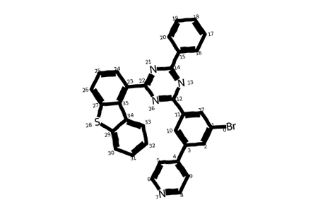 Brc1cc(-c2ccncc2)cc(-c2nc(-c3ccccc3)nc(-c3cccc4sc5ccccc5c34)n2)c1